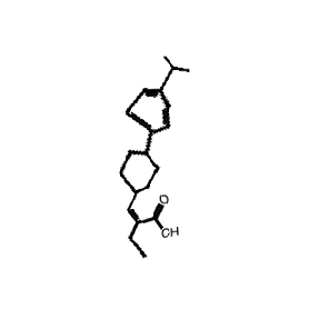 CC/C(=C/C1CCC(c2ccc(C(C)C)cc2)CC1)C(=O)O